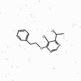 CC(Cl)c1ncnc(OCCc2ccccc2)c1Cl